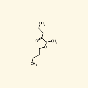 CCCCON(C)C(=O)CCC